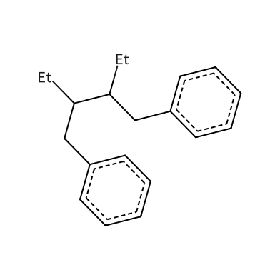 CCC(Cc1ccccc1)C(CC)Cc1ccccc1